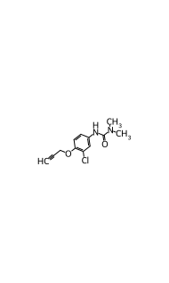 C#CCOc1ccc(NC(=O)N(C)C)cc1Cl